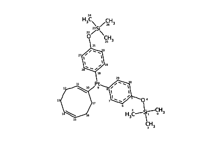 C[Si](C)(C)Oc1cc[c]([Pt]([C]2=CCCC=CCC2)[c]2ccc(O[Si](C)(C)C)cc2)cc1